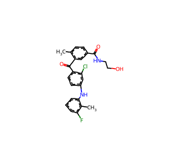 Cc1ccc(C(=O)NCCO)cc1C(=O)c1ccc(Nc2cccc(F)c2C)cc1Cl